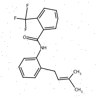 CC(C)=CCc1ccccc1NC(=O)c1ccccc1C(F)(F)F